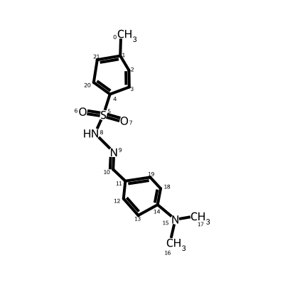 Cc1ccc(S(=O)(=O)NN=Cc2ccc(N(C)C)cc2)cc1